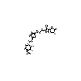 CC(C)c1ccc(CSc2nnc(SCCNC(=O)C3CCCC3)s2)cc1